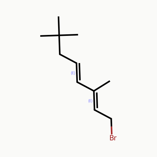 CC(/C=C/CC(C)(C)C)=C\CBr